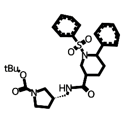 CC(C)(C)OC(=O)N1CC[C@@H](CNC(=O)C2CCC(c3ccccc3)N(S(=O)(=O)c3ccccc3)C2)C1